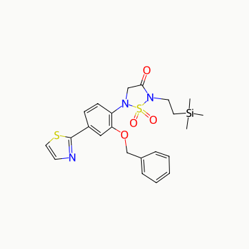 C[Si](C)(C)CCN1C(=O)CN(c2ccc(-c3nccs3)cc2OCc2ccccc2)S1(=O)=O